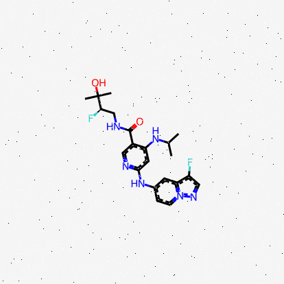 CC(C)Nc1cc(Nc2ccn3ncc(F)c3c2)ncc1C(=O)NC[C@@H](F)C(C)(C)O